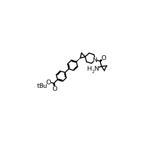 CC(C)(C)OC(=O)c1ccc(-c2ccc([C@H]3CC34CCN(C(=O)C3(N)CC3)CC4)cc2)cc1